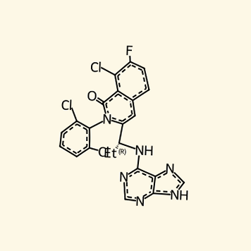 CC[C@@H](Nc1ncnc2[nH]cnc12)c1cc2ccc(F)c(Cl)c2c(=O)n1-c1c(Cl)cccc1Cl